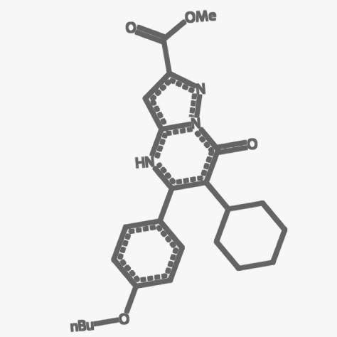 CCCCOc1ccc(-c2[nH]c3cc(C(=O)OC)nn3c(=O)c2C2CCCCC2)cc1